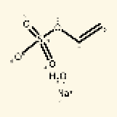 C=COS(=O)(=O)[O-].O.[Na+]